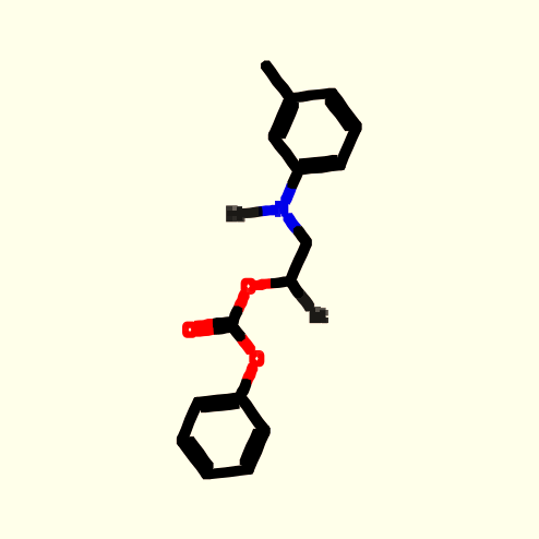 CCC(CN(CC)c1cccc(C)c1)OC(=O)Oc1ccccc1